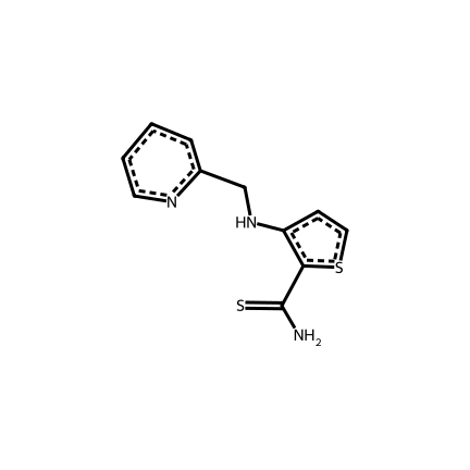 NC(=S)c1sccc1NCc1ccccn1